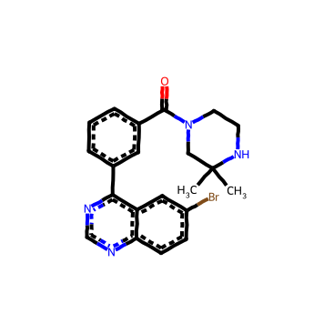 CC1(C)CN(C(=O)c2cccc(-c3ncnc4ccc(Br)cc34)c2)CCN1